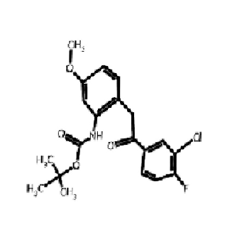 COc1ccc(CC(=O)c2ccc(F)c(Cl)c2)c(NC(=O)OC(C)(C)C)c1